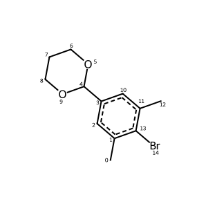 Cc1cc(C2OCCCO2)cc(C)c1Br